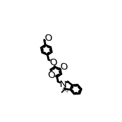 C[C@@H]1c2ccccc2CN1Cc1cc(=O)c(OCc2ccc(C=O)cc2)co1